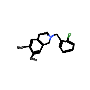 COc1cc2c(cc1OC)CN(Cc1ccccc1Cl)CC2